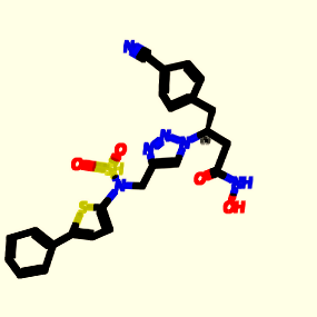 N#Cc1ccc(C[C@@H](CC(=O)NO)n2cc(CN(c3ccc(-c4ccccc4)s3)[SH](=O)=O)nn2)cc1